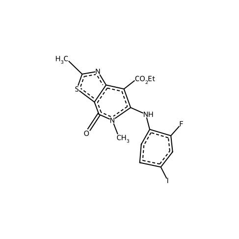 CCOC(=O)c1c(Nc2ccc(I)cc2F)n(C)c(=O)c2sc(C)nc12